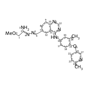 COCC(N)=NN=Cc1ccc2ncnc(Nc3ccc(Oc4ccc(C)nc4)c(C)c3)c2c1